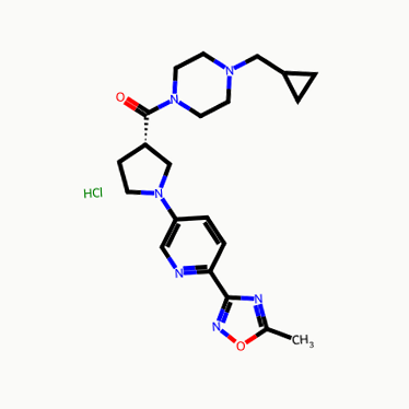 Cc1nc(-c2ccc(N3CC[C@H](C(=O)N4CCN(CC5CC5)CC4)C3)cn2)no1.Cl